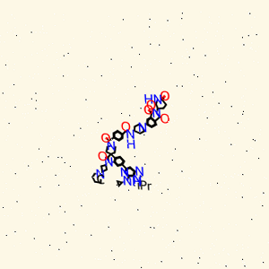 CC(C)n1cnc2cc(-c3ccc4c(c3)N([C@H]3C[C@@H](N5CCCCC5)C3)C(=O)C43CCN(C(=O)c4ccc(C(=O)NC5CCN(c6ccc7c(c6)C(=O)N(C6CCC(=O)NC6=O)C7=O)CC5)cc4)CC3)nc(NC3CC3)c21